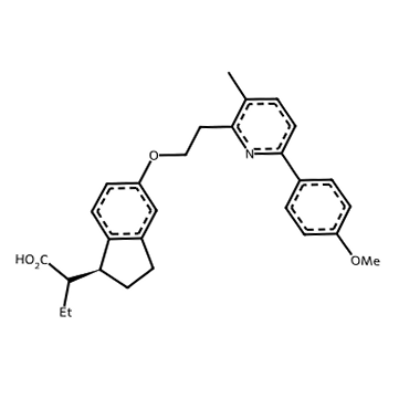 CCC(C(=O)O)[C@@H]1CCc2cc(OCCc3nc(-c4ccc(OC)cc4)ccc3C)ccc21